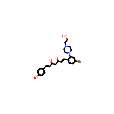 O=C(C=Cc1ccc(O)cc1)CC(=O)C=Cc1ccc(Br)cc1N1CCN(CCO)CC1